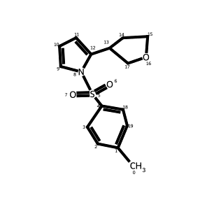 Cc1ccc(S(=O)(=O)n2cccc2C2CCOC2)cc1